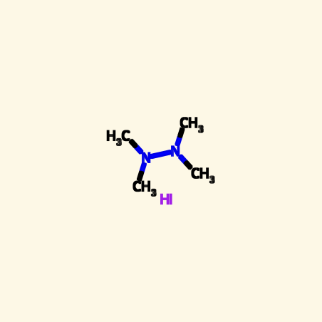 CN(C)N(C)C.I